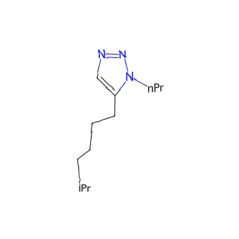 CCCn1nncc1CCCCC(C)C